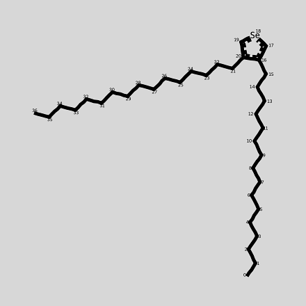 CCCCCCCCCCCCCCCCc1c[se]cc1CCCCCCCCCCCCCCCC